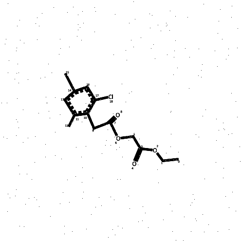 CCOC(=O)COC(=O)Cc1c(C)cc(C)cc1Cl